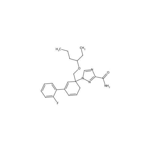 CCCC(CC)OCC1(n2cnc(C(N)=O)n2)C=C(c2ccccc2F)C=CC1